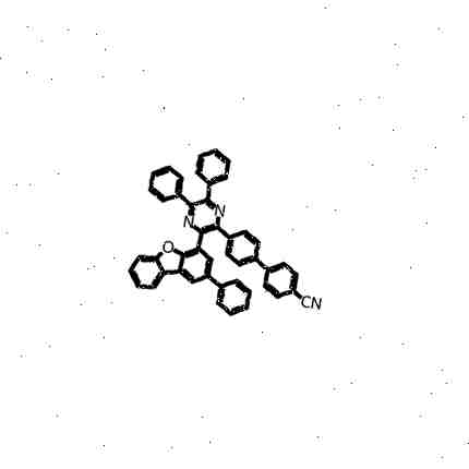 N#Cc1ccc(-c2ccc(-c3nc(-c4ccccc4)c(-c4ccccc4)nc3-c3cc(-c4ccccc4)cc4c3oc3ccccc34)cc2)cc1